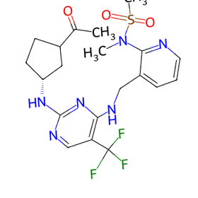 CC(=O)C1CC[C@@H](Nc2ncc(C(F)(F)F)c(NCc3cccnc3N(C)S(C)(=O)=O)n2)C1